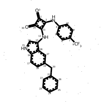 O=c1c(Nc2ccc(C(F)(F)F)cc2)c(Nc2c[nH]c3ccc(Cc4ccccc4)cc23)c1=O